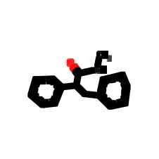 [CH3][AlH][C](=O)C(Cc1ccccc1)c1ccccc1